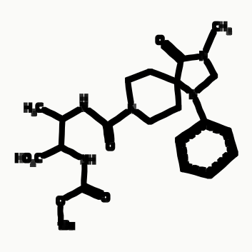 CC(NC(=O)N1CCC2(CC1)C(=O)N(C)CN2c1ccccc1)C(NC(=O)OC(C)(C)C)C(=O)O